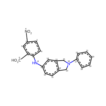 O=C(O)c1cc([N+](=O)[O-])ccc1Nc1ccc2c(c1)CN(c1ccccc1)C2